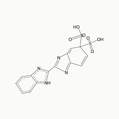 O=S(=O)(O)C1(S(=O)(=O)O)C=CC2=NC(c3nc4ccccc4[nH]3)=NC2=C1